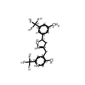 Cc1cc(C2CC(Cc3cc(C(F)(F)F)ncc3Cl)=NO2)cc(C(F)(F)F)c1